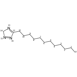 CCCCCCCCCCCCC1=NCN=N1